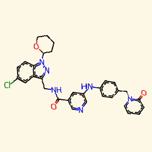 O=C(NCc1nn(C2CCCCO2)c2ccc(Cl)cc12)c1cncc(Nc2ccc(Cn3ccccc3=O)cc2)c1